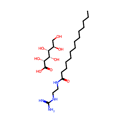 CCCCCCCCCCCCCC(=O)NCCNC(=N)N.O=C(O)[C@H](O)[C@@H](O)[C@H](O)[C@H](O)CO